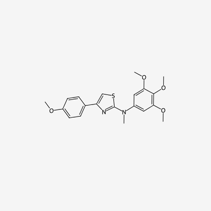 COc1ccc(-c2csc(N(C)c3cc(OC)c(OC)c(OC)c3)n2)cc1